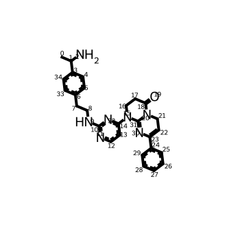 CC(N)c1ccc(CCNc2nccc(N3CCC(=O)N4CC=C(c5ccccc5)N=C43)n2)cc1